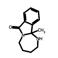 CC12NCCCCN1C(=O)c1ccccc12